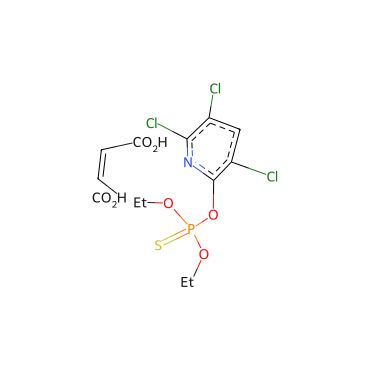 CCOP(=S)(OCC)Oc1nc(Cl)c(Cl)cc1Cl.O=C(O)/C=C\C(=O)O